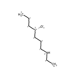 CCC[S@+]([O-])CCCNCC